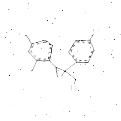 Clc1ccc(C2(CBr)OC2c2ccc(Cl)cc2Cl)cc1